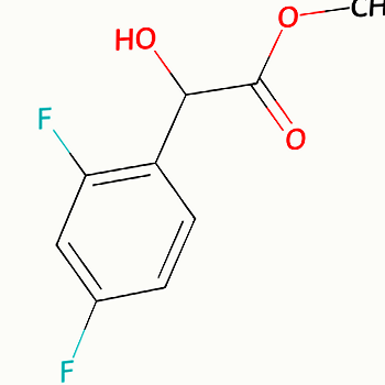 COC(=O)C(O)c1ccc(F)cc1F